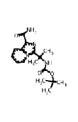 CC(C)(C)OC(=O)NC(C)(C)c1nc(C(N)=O)c2ccccn12